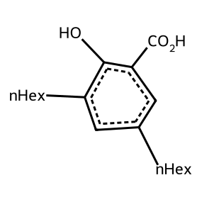 CCCCCCc1cc(CCCCCC)c(O)c(C(=O)O)c1